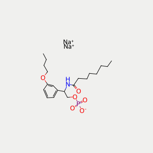 CCCCCCCC(=O)NC(COP(=O)([O-])[O-])c1cccc(OCCCC)c1.[Na+].[Na+]